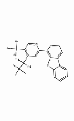 [2H]C([2H])([2H])c1cnc(-c2cccc3c2oc2ccccc23)cc1C([2H])([2H])C(C)(C)C